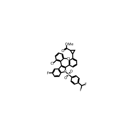 COC(=O)C1CC1c1cccc(-c2c(-c3c(Cl)cccc3Cl)c3cc(F)ccc3n2S(=O)(=O)c2ccc(C(F)F)cc2)c1